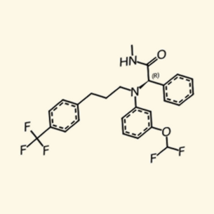 CNC(=O)[C@@H](c1ccccc1)N(CCCc1ccc(C(F)(F)F)cc1)c1cccc(OC(F)F)c1